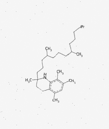 Cc1cc(C)c2c(c1C)NC(C)(CCCC(C)CCCC(C)CCCC(C)C)CC2